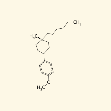 CCCCCC[C@]1(C)CC[C@H](c2ccc(OC)cc2)CC1